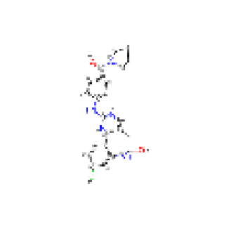 O=C1Cc2cnc(Nc3ccc(C(=O)N4CCCC4)cc3)nc2-c2ccc(Cl)cc2N1